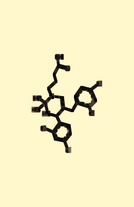 O=C(O)CCCN1C=C(Cc2ccc(Cl)cc2Cl)C(c2ccc(Cl)cc2Cl)NS1(O)O